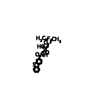 CCC[C@H](CN(O)C(=O)CNC(=O)c1ccc2c(c1)sc1ccccc12)OC(C)F